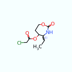 C/C=C1/NC(=O)OCCC1OC(=O)CCl